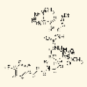 CCc1cc(NC(=O)NC[C@@H]2CN(CCCc3ccc(F)cc3)CC[C@H]2N(C)S(C)(=O)=O)cc(-c2nnnn2C)c1